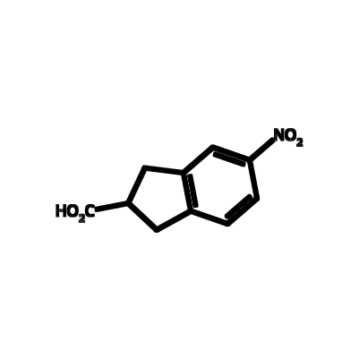 O=C(O)C1Cc2ccc([N+](=O)[O-])cc2C1